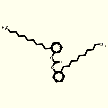 CCCCCCCCCCc1ccccc1OC(=O)Oc1ccccc1CCCCCCCCCC